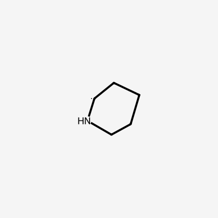 [CH]1CCCCN1